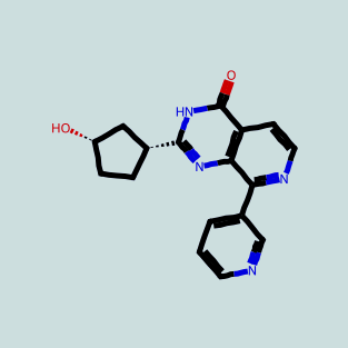 O=c1[nH]c([C@@H]2CC[C@H](O)C2)nc2c(-c3cccnc3)nccc12